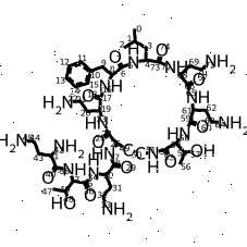 CC(C)CC1NC(=O)C(Cc2ccccc2)NC(=O)C(CCN)NC(=O)C(NC(=O)C(CCN)NC(=O)C(NC(=O)C(N)CCN)C(C)O)CCNC(=O)C(C(C)O)NC(=O)C(CCN)NC(=O)C(CCN)NC1=O